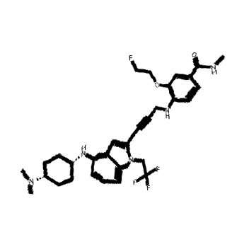 CNC(=O)c1ccc(NCC#Cc2cc3c(N[C@H]4CC[C@@H](N(C)C)CC4)cccc3n2CC(F)(F)F)c(OCCF)c1